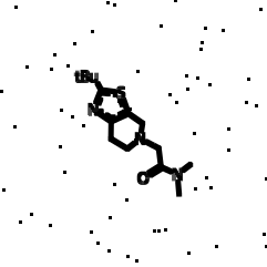 CN(C)C(=O)CN1CCc2nc(C(C)(C)C)sc2C1